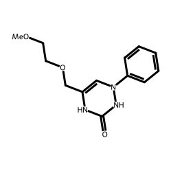 COCCOCC1=CN(c2ccccc2)NC(=O)N1